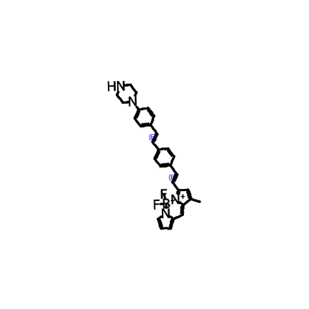 CC1=CC(/C=C/c2ccc(/C=C/c3ccc(N4CCNCC4)cc3)cc2)=[N+]2C1=Cc1cccn1[B-]2(F)F